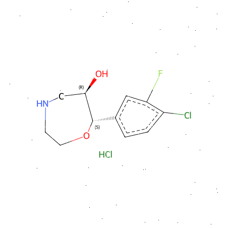 Cl.O[C@@H]1CNCCO[C@H]1c1ccc(Cl)c(F)c1